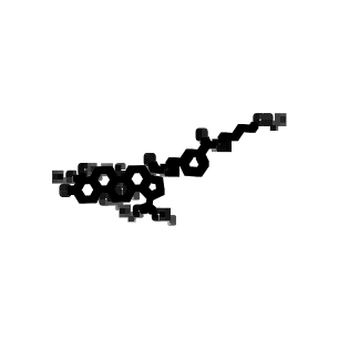 C=C(C)[C@@H]1CC[C@]2(C(=O)NCc3cccc(C(=O)NCCCCC(=O)O)c3)CC[C@]3(C)C(CCC4[C@@]5(C)CCC(=O)C(C)(C)C5CC[C@]43C)C12